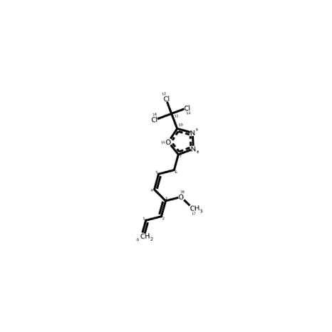 C=C/C=C(\C=C/Cc1nnc(C(Cl)(Cl)Cl)o1)OC